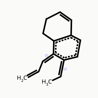 C=C/C=c1/c2c(cc/c1=C/C)C=CCC2